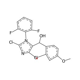 COc1ccc(C(O)c2c(C)nc(Cl)n2-c2c(F)cccc2F)c(Cl)c1